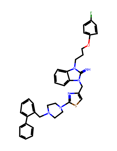 N=c1n(CCCOc2ccc(F)cc2)c2ccccc2n1Cc1csc(N2CCN(Cc3ccccc3-c3ccccc3)CC2)n1